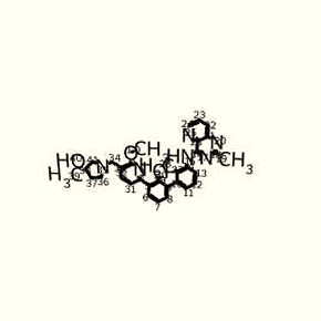 COc1nc(-c2cccc(-c3cccc(Nc4nc(C)nc5cccnc45)c3C)c2Cl)ccc1CN1CC[C@@](C)(O)C1